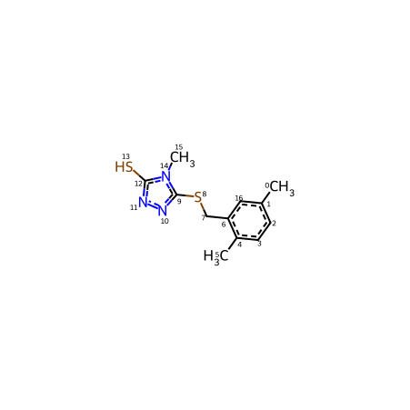 Cc1ccc(C)c(CSc2nnc(S)n2C)c1